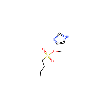 CCCCS(=O)(=O)OC.c1c[nH]cn1